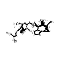 C=C(C(=C1CC1)C(C)C)/C(=C/NCC1=CC(C)=C(OCC(C)C(C)C)CN1C)C1C=CCC1